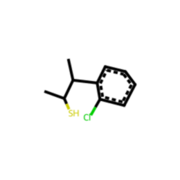 CC(S)C(C)c1ccccc1Cl